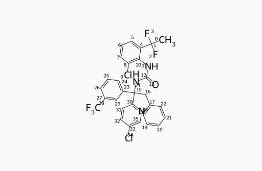 CC(F)(F)c1cccc(Cl)c1NC(=O)NC(Cc1ccccc1)(c1cccc(C(F)(F)F)c1)c1ccc(Cl)cn1